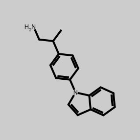 CC(CN)c1ccc(-n2ccc3ccccc32)cc1